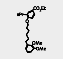 CCCc1cc(C(=O)OCC)ccc1OCCCCCCc1cccc(OC)c1OC